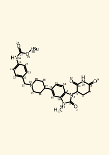 Cn1c(=O)n(C2CCC(=O)NC2=O)c2ccc(C3CCN(Cc4ccc(NC(=O)OC(C)(C)C)cc4)CC3)cc21